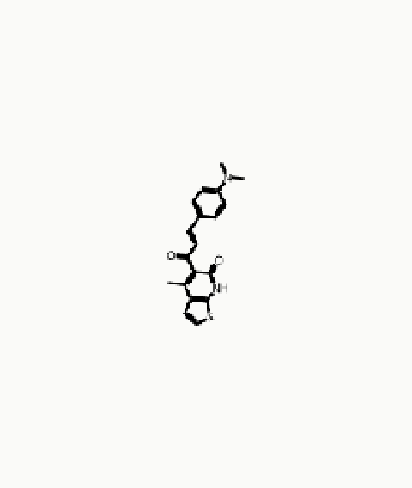 Cc1c(C(=O)/C=C/c2ccc(N(C)C)cc2)c(=O)[nH]c2sccc12